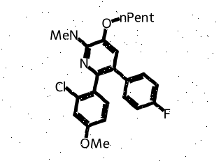 CCCCCOc1cc(-c2ccc(F)cc2)c(-c2ccc(OC)cc2Cl)nc1NC